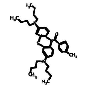 CCCCN(CCCC)c1ccc2c(c1)Sc1cc(N(CCCC)CCCC)ccc1N2C(=O)c1ccc(C)cc1